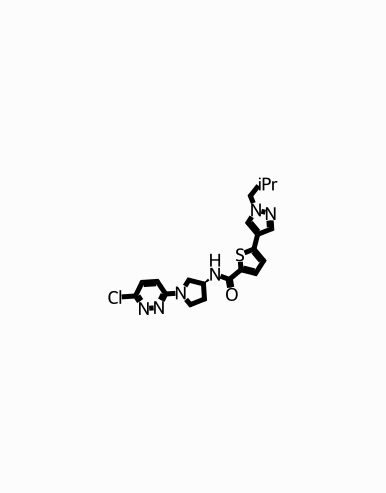 CC(C)Cn1cc(-c2ccc(C(=O)N[C@@H]3CCN(c4ccc(Cl)nn4)C3)s2)cn1